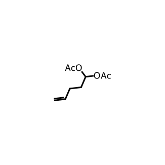 C=CCCC(OC(C)=O)OC(C)=O